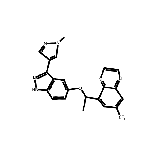 CC(Oc1ccc2[nH]nc(-c3cnn(C)c3)c2c1)c1cc(C(F)(F)F)cc2nccnc12